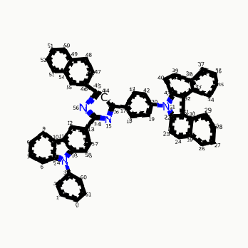 c1ccc(-n2c3ccccc3c3cc(-c4nc(-c5ccc(-n6c7ccc8ccccc8c7c7c8ccccc8ccc76)cc5)cc(-c5ccc6ccccc6c5)n4)ccc32)cc1